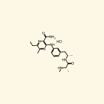 CCc1nc(C(N)=O)c(Nc2cccc(C[C@H](C)NC(=O)[C@H](C)NC)c2)nc1C.Cl